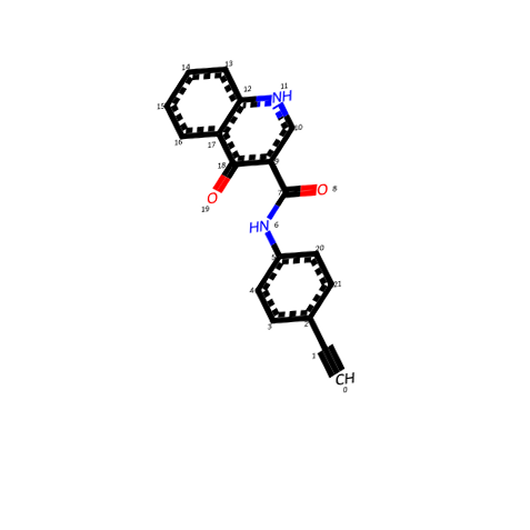 C#Cc1ccc(NC(=O)c2c[nH]c3ccccc3c2=O)cc1